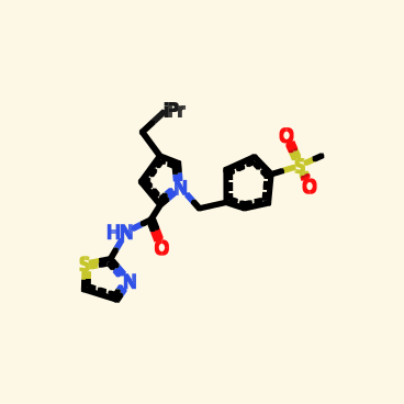 CC(C)Cc1cc(C(=O)Nc2nccs2)n(Cc2ccc(S(C)(=O)=O)cc2)c1